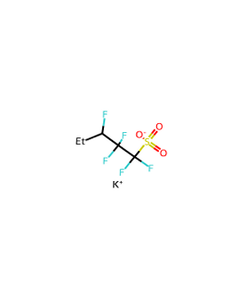 CCC(F)C(F)(F)C(F)(F)S(=O)(=O)[O-].[K+]